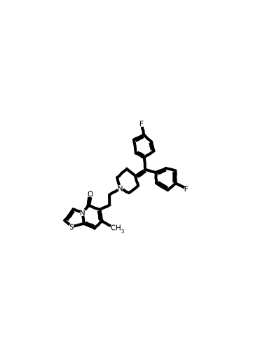 Cc1cc2sccn2c(=O)c1CCN1CCC(=C(c2ccc(F)cc2)c2ccc(F)cc2)CC1